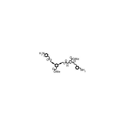 COC(=O)Cc1cc(C#CCOC(=O)Cc2ccc(N)nc2)cc(C#CCOC(=O)NC2CC(C(=O)OC)N(C(=O)CCc3cccc(CN)c3)C2)c1